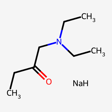 CCC(=O)CN(CC)CC.[NaH]